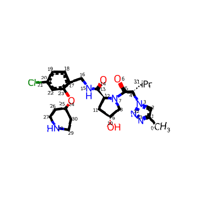 Cc1cn([C@H](C(=O)N2C[C@H](O)C[C@H]2C(=O)NCc2ccc(Cl)cc2OC2CCNCC2)C(C)C)nn1